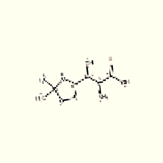 CC1(C)OC[C@@H]([C@@H](O)[C@H](N)C(=O)O)O1